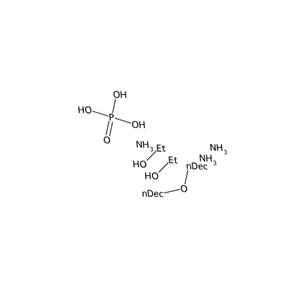 CCCCCCCCCCOCCCCCCCCCC.CCO.CCO.N.N.N.O=P(O)(O)O